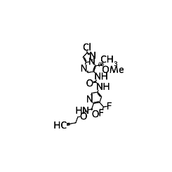 C#CCCONC(=O)c1ncc(NC(=O)Nc2cnc3cc(Cl)nn3c2[C@H](C)OC)cc1C(F)F